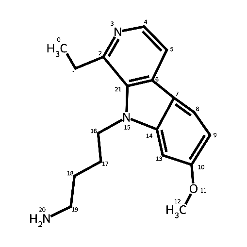 CCc1nccc2c3ccc(OC)cc3n(CCCCN)c12